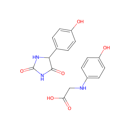 O=C(O)CNc1ccc(O)cc1.O=C1NC(=O)C(c2ccc(O)cc2)N1